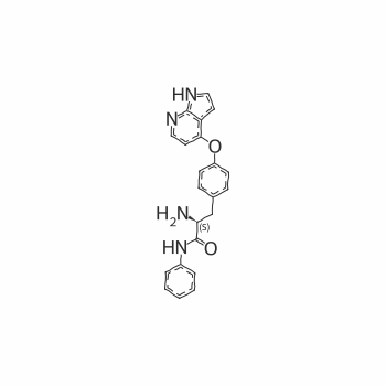 N[C@@H](Cc1ccc(Oc2ccnc3[nH]ccc23)cc1)C(=O)Nc1ccccc1